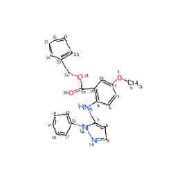 COc1ccc(Nc2ccnn2-c2ccccc2)c(C(=O)OCc2ccccc2)c1